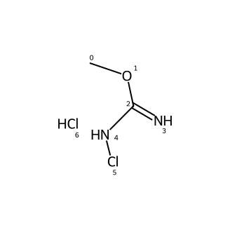 COC(=N)NCl.Cl